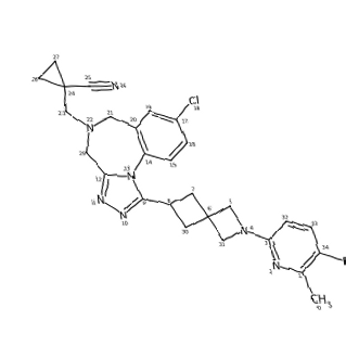 Cc1nc(N2CC3(CC(c4nnc5n4-c4ccc(Cl)cc4CN(CC4(C#N)CC4)C5)C3)C2)ccc1F